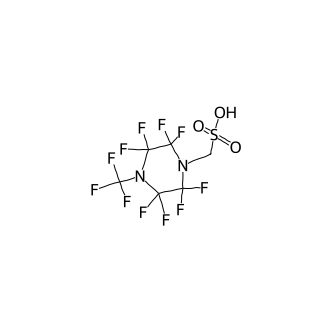 O=S(=O)(O)CN1C(F)(F)C(F)(F)N(C(F)(F)F)C(F)(F)C1(F)F